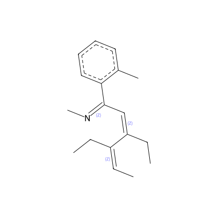 C\C=C(CC)/C(=C\C(=N\C)c1ccccc1C)CC